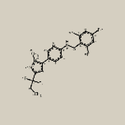 CCC(F)(F)c1cc(-c2ccc(NCc3c(F)cc(F)cc3F)nc2)n(C)n1